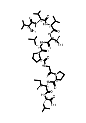 CC[C@H](C)[C@H](NC(=O)[C@@H]1CCCN1C(=O)CNC(=O)[C@@H]1CCCN1C(=O)[C@H](CC(C)C)NC(=O)[C@@H](NC(=O)[C@@H](NC(=O)[C@@H](NC(=O)[C@@H](N)C(C)C)C(C)C)C(C)C)[C@@H](C)O)C(=O)N[C@@H](CC(C)C)C(=O)O